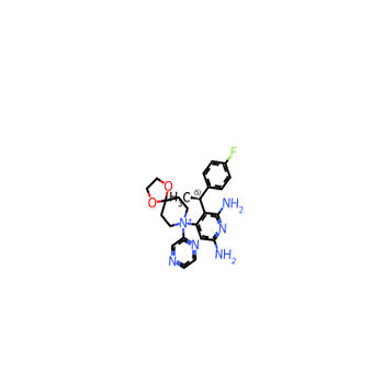 C[C@@H](c1ccc(F)cc1)c1c([N+]2(c3cnccn3)CCC3(CC2)OCCO3)cc(N)nc1N